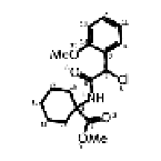 COC(=O)C1(NC(=O)C(Cl)c2ccccc2OC)CCCCC1